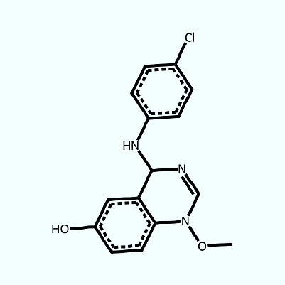 CON1C=NC(Nc2ccc(Cl)cc2)c2cc(O)ccc21